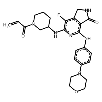 C=CC(=O)N1CCCC(Nc2nc(Nc3ccc(N4CCOCC4)cc3)c3c(c2F)CNC3=O)C1